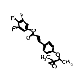 CC(Oc1ccc(/C=C/C(=O)Oc2cc(F)c(F)c(F)c2)cc1)C1(C)CO1